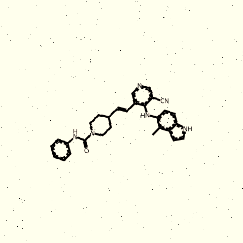 Cc1c(Nc2c(C#N)cncc2C=CC2CCN(C(=O)Nc3ccccc3)CC2)ccc2[nH]ccc12